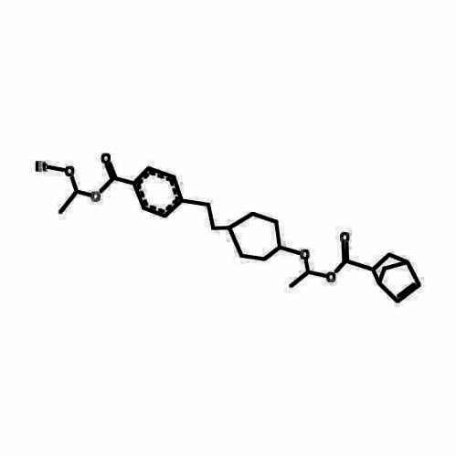 CCOC(C)OC(=O)c1ccc(CCC2CCC(OC(C)OC(=O)C3CC4C=CC3C4)CC2)cc1